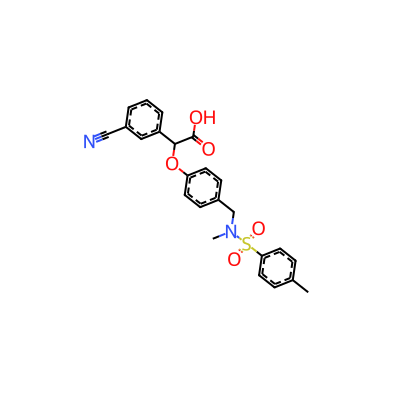 Cc1ccc(S(=O)(=O)N(C)Cc2ccc(OC(C(=O)O)c3cccc(C#N)c3)cc2)cc1